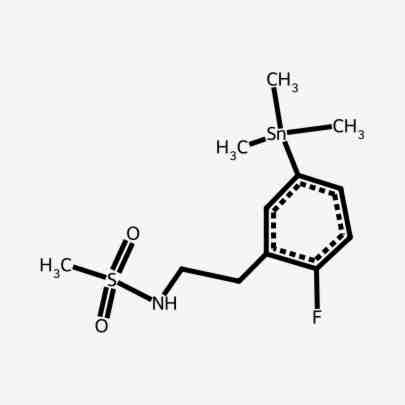 CS(=O)(=O)NCCc1c[c]([Sn]([CH3])([CH3])[CH3])ccc1F